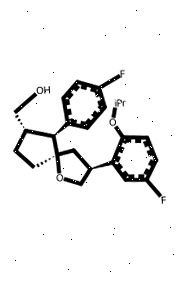 CC(C)Oc1ccc(F)cc1[C@H]1CO[C@]2(CC[C@H](CO)[C@H]2c2ccc(F)cc2)C1